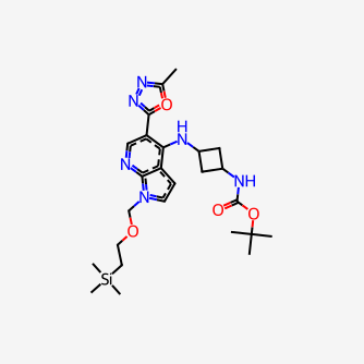 Cc1nnc(-c2cnc3c(ccn3COCC[Si](C)(C)C)c2NC2CC(NC(=O)OC(C)(C)C)C2)o1